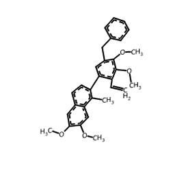 C=Cc1c(-c2ccc3cc(OC)c(OC)cc3c2C)cc(Cc2ccccc2)c(OC)c1OC